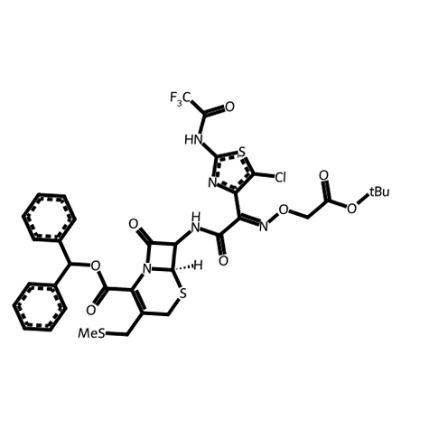 CSCC1=C(C(=O)OC(c2ccccc2)c2ccccc2)N2C(=O)C(NC(=O)/C(=N/OCC(=O)OC(C)(C)C)c3nc(NC(=O)C(F)(F)F)sc3Cl)[C@H]2SC1